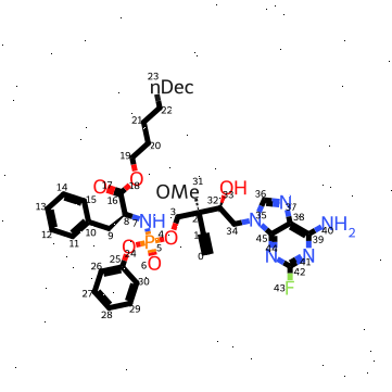 C#C[C@](COP(=O)(N[C@@H](Cc1ccccc1)C(=O)OCCCCCCCCCCCCCC)Oc1ccccc1)(OC)[C@@H](O)Cn1cnc2c(N)nc(F)nc21